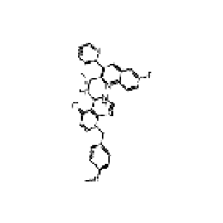 COc1ccc(Cn2ccc(=O)c3c2N=CNC3N[C@H](C)c2nc3ccc(F)cc3cc2-c2ccccn2)cc1